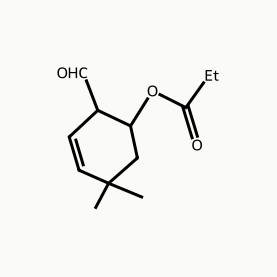 CCC(=O)OC1CC(C)(C)C=CC1C=O